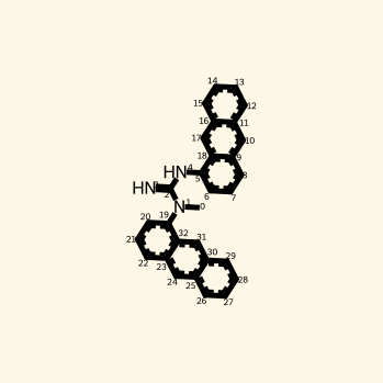 CN(C(=N)Nc1cccc2cc3ccccc3cc12)c1cccc2cc3ccccc3cc12